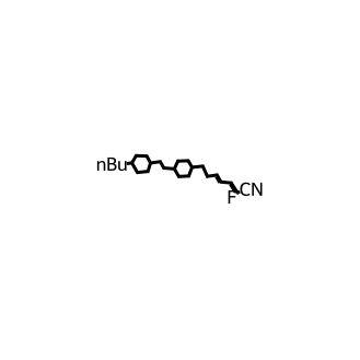 CCCCC1CCC(CCC2CCC(CCC=CC=C(F)C#N)CC2)CC1